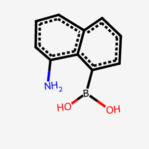 Nc1cccc2cccc(B(O)O)c12